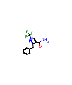 NC(=O)c1cn(C(F)(F)F)nc1Cc1ccccc1